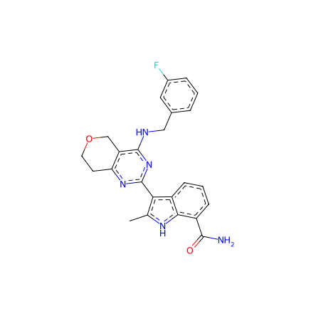 Cc1[nH]c2c(C(N)=O)cccc2c1-c1nc2c(c(NCc3cccc(F)c3)n1)COCC2